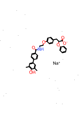 Cc1cc(-c2ccc(C(=O)NCCOc3ccc(CC(Oc4ccccc4)C(=O)[O-])cc3)cc2)cc(C)c1O.[Na+]